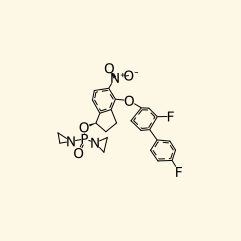 O=[N+]([O-])c1ccc2c(c1Oc1ccc(-c3ccc(F)cc3)c(F)c1)CC[C@H]2OP(=O)(N1CC1)N1CC1